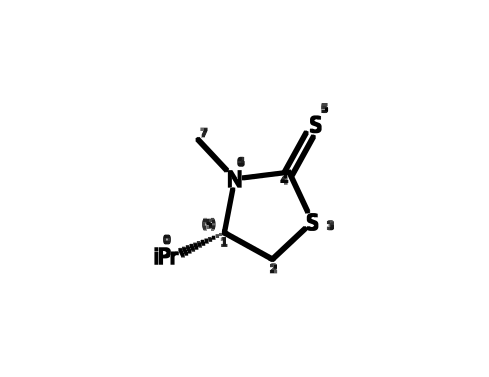 CC(C)[C@H]1CSC(=S)N1C